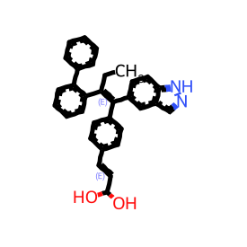 CC/C(=C(/c1ccc(/C=C/C(O)O)cc1)c1ccc2[nH]ncc2c1)c1ccccc1-c1ccccc1